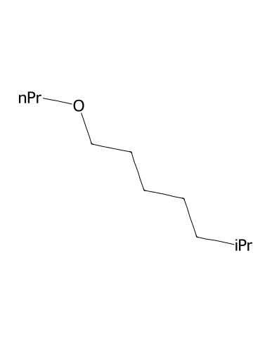 [CH2]CCOCCCCCC(C)C